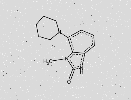 Cn1c(=O)[nH]c2cccc(N3CCCCC3)c21